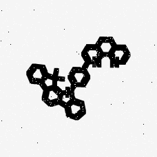 CC1(C)c2ccccc2-c2ccc3c4ccccc4n(-c4ccc(-c5ccc6ccc7cccnc7c6n5)cc4)c3c21